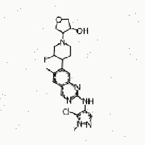 Cc1cc2cnc(Nc3cnn(C)c3Cl)nc2cc1C1CCN(C2COC[C@H]2O)CC1F